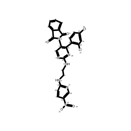 O=C1c2ccccc2C(=O)N1c1cnc(NCCNc2ccc([N+](=O)[O-])cn2)nc1-c1ccc(Cl)cc1Cl